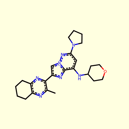 Cc1nc2c(nc1-c1cn3nc(N4CCCC4)cc(NC4CCOCC4)c3n1)CCCC2